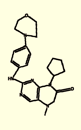 CN1CC(=O)N(C2CCCC2)c2nc(Nc3ccc(N4CCOCC4)cc3)ncc21